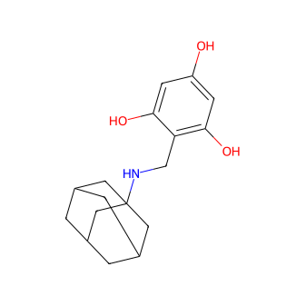 Oc1cc(O)c(CNC23CC4CC(CC(C4)C2)C3)c(O)c1